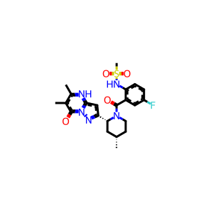 Cc1[nH]c2cc([C@H]3C[C@@H](C)CCN3C(=O)c3cc(F)ccc3NS(C)(=O)=O)nn2c(=O)c1C